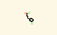 O=C(Cl)CCCc1cccc(Cl)c1